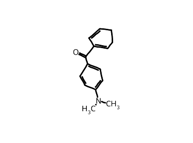 CN(C)c1ccc(C(=O)C2=CCCC=C2)cc1